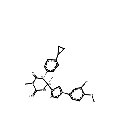 COc1ccc(-c2csc([C@@]3(C)NC(=N)N(C)C(=O)[C@@H]3c3ccc(C4CC4)cc3)c2)cc1Cl